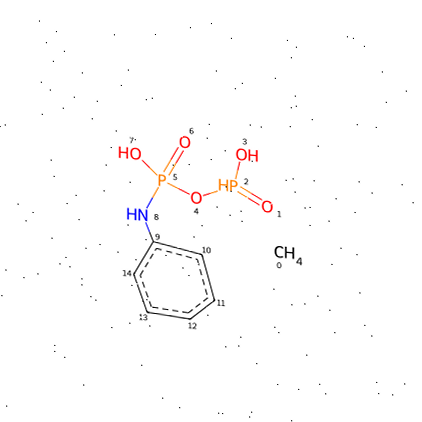 C.O=[PH](O)OP(=O)(O)Nc1ccccc1